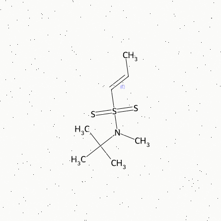 C/C=C/S(=S)(=S)N(C)C(C)(C)C